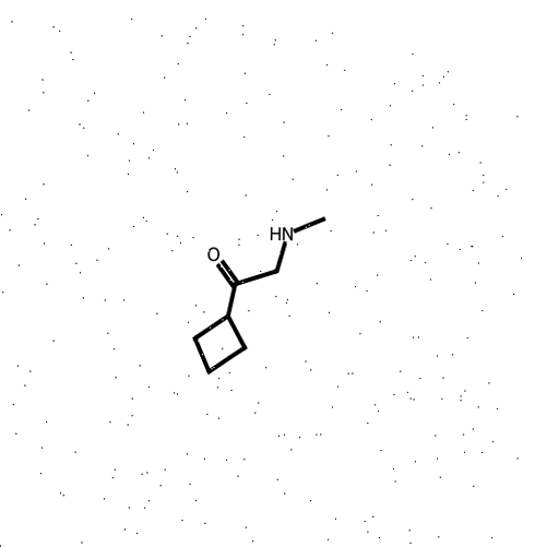 CNCC(=O)C1CCC1